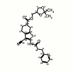 CC1(C)OCC(COC(=O)N2CCc3c(sc(NC(=O)CCc4ccccn4)c3C#N)C2)O1